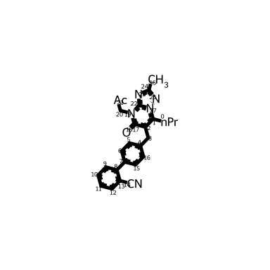 CCCc1c(Cc2ccc(-c3ccccc3C#N)cc2)c(=O)n(CC(C)=O)c2nc(C)nn12